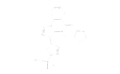 COC1(c2cn(-c3ncn4c3c(=O)n(CC3CCCO3)c3ccccc34)nn2)CC1